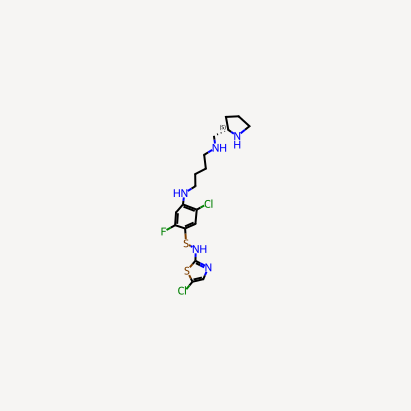 Fc1cc(NCCCCNC[C@@H]2CCCN2)c(Cl)cc1SNc1ncc(Cl)s1